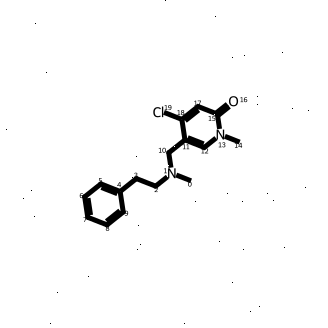 CN(CCc1ccccc1)Cc1cn(C)c(=O)cc1Cl